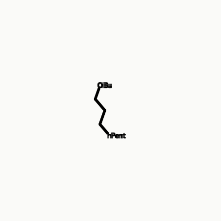 [CH2]CCCCCCCOCC(C)C